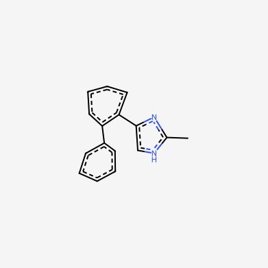 Cc1nc(-c2ccccc2-c2ccccc2)c[nH]1